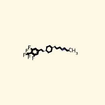 CC/C=C/CCC[C@H]1CC[C@H](CCc2cc(F)c(C(F)(F)F)c(F)c2)CC1